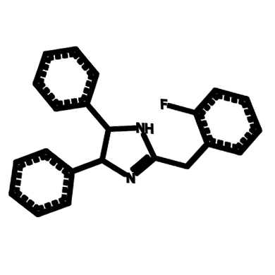 Fc1ccccc1CC1=NC(c2ccccc2)C(c2ccccc2)N1